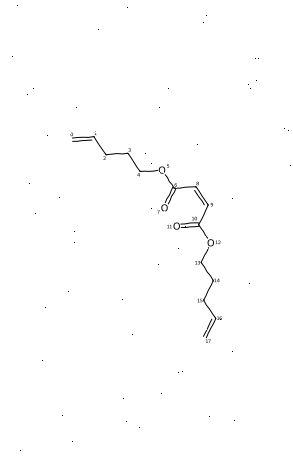 C=CCCCOC(=O)/C=C\C(=O)OCCCC=C